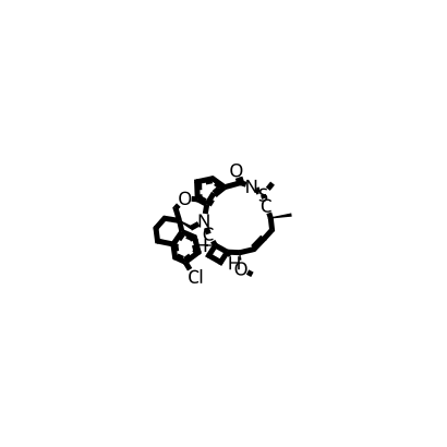 CO[C@H]1/C=C/C[C@H](C)C/S(C)=N\C(=O)c2ccc3c(c2)N(C[C@@H]2CC[C@H]21)C[C@@]1(CCCc2cc(Cl)ccc21)CO3